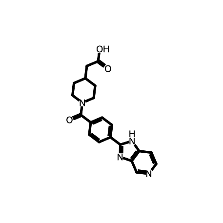 O=C(O)CC1CCN(C(=O)c2ccc(-c3nc4cnccc4[nH]3)cc2)CC1